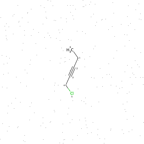 C[CH]C#CCCl